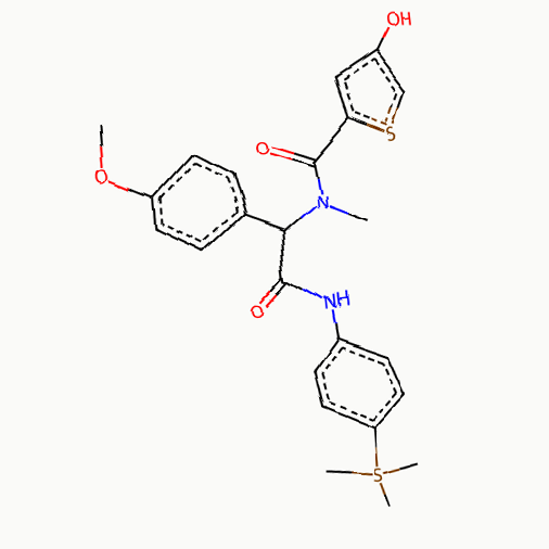 COc1ccc(C(C(=O)Nc2ccc(S(C)(C)C)cc2)N(C)C(=O)c2cc(O)cs2)cc1